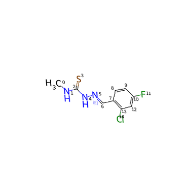 CNC(=S)N/N=C/c1ccc(F)cc1Cl